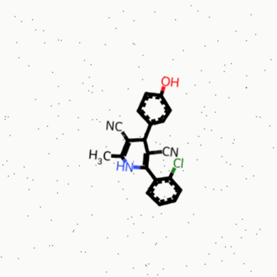 CC1=C(C#N)C(c2ccc(O)cc2)C(C#N)=C(c2ccccc2Cl)N1